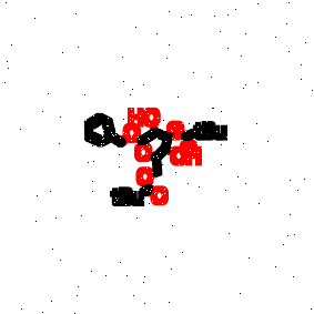 CC(C)(C)C(=O)OCC1OC(OCc2ccccc2)[C@@H](O)[C@@H](OC(=O)C(C)(C)C)[C@H]1O